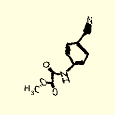 COC(=O)C(=O)Nc1ccc(C#N)cc1